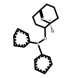 c1ccc(P(OC2CCC3=N[C@H]2CCC3)c2ccccc2)cc1